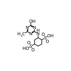 Cc1nc(O)nc(NC2CC(S(=O)(=O)O)CCC2S(=O)(=O)O)n1